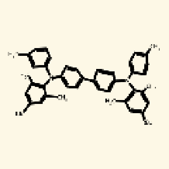 Cc1ccc(N(c2ccc(-c3ccc(N(c4cccc(C)c4)c4c(C)cc(C(C)(C)C)cc4C)cc3)cc2)c2c(C)cc(C(C)(C)C)cc2C)cc1